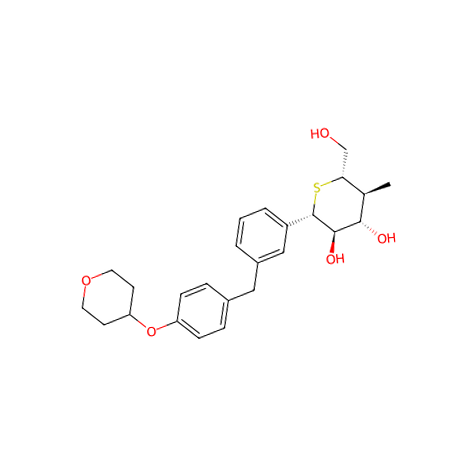 C[C@H]1[C@H](O)[C@@H](O)[C@H](c2cccc(Cc3ccc(OC4CCOCC4)cc3)c2)S[C@@H]1CO